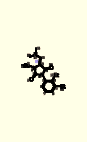 CCCCN1C(=O)N(c2cccc(CC)c2CC)C(=O)/C1=C/N(C)C